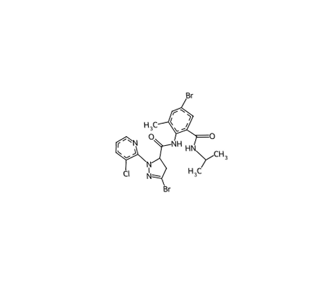 Cc1cc(Br)cc(C(=O)NC(C)C)c1NC(=O)C1CC(Br)=NN1c1ncccc1Cl